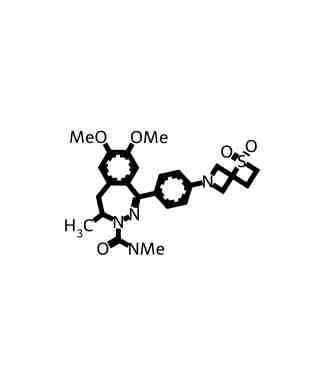 CNC(=O)N1N=C(c2ccc(N3CC4(CCS4(=O)=O)C3)cc2)c2cc(OC)c(OC)cc2CC1C